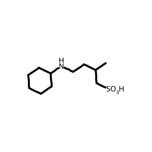 CC(CCNC1CCCCC1)CS(=O)(=O)O